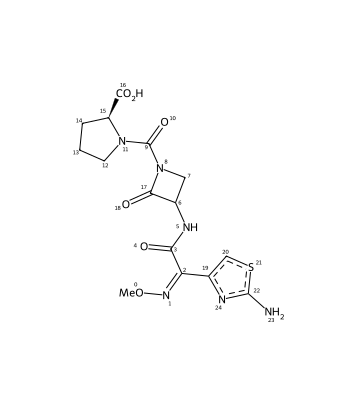 CO/N=C(\C(=O)NC1CN(C(=O)N2CCC[C@H]2C(=O)O)C1=O)c1csc(N)n1